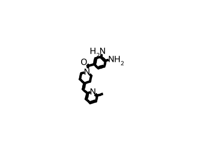 Cc1cccc(C=C2CCN(C(=O)c3ccc(N)c(N)c3)CC2)n1